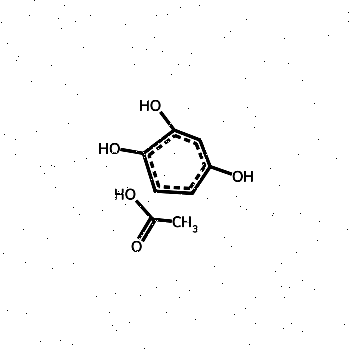 CC(=O)O.Oc1ccc(O)c(O)c1